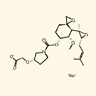 CO[C@@H]1[C@H](OC(=O)N2CC[C@H](OCC(=O)[O-])C2)CC[C@]2(CO2)[C@H]1[C@@]1(C)O[C@@H]1CC=C(C)C.[Na+]